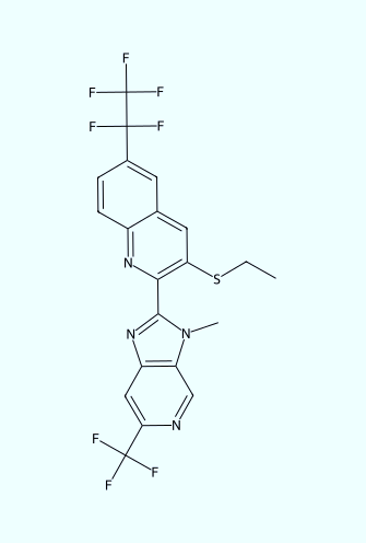 CCSc1cc2cc(C(F)(F)C(F)(F)F)ccc2nc1-c1nc2cc(C(F)(F)F)ncc2n1C